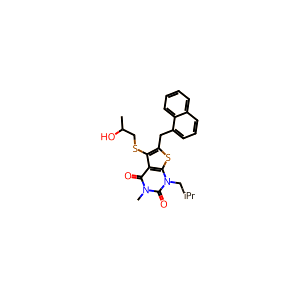 CC(C)Cn1c(=O)n(C)c(=O)c2c(SCC(C)O)c(Cc3cccc4ccccc34)sc21